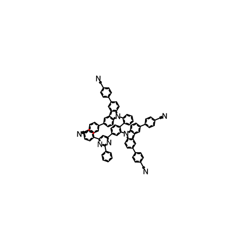 N#Cc1ccc(-c2ccc3c(c2)c2cc(-c4ccc(C#N)cc4)ccc2n3-c2ccccc2-c2ccc(-c3cc(-c4ccccc4)nc(-c4ccccc4)n3)cc2-n2c3ccc(-c4ccc(C#N)cc4)cc3c3cc(-c4ccc(C#N)cc4)ccc32)cc1